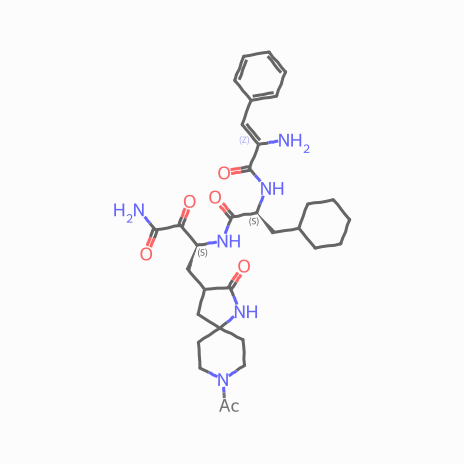 CC(=O)N1CCC2(CC1)CC(C[C@H](NC(=O)[C@H](CC1CCCCC1)NC(=O)/C(N)=C/c1ccccc1)C(=O)C(N)=O)C(=O)N2